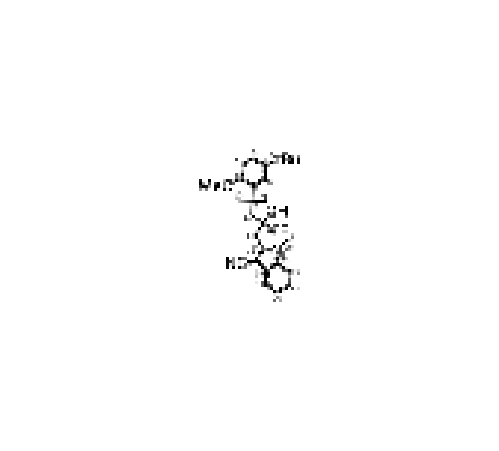 COc1ccc(C(C)(C)C)cc1C(C)(C)CC(O)(Cc1c(C#N)c2ccccc2n1C)C(F)(F)F